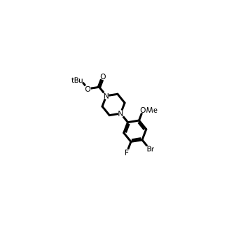 COc1cc(Br)c(F)cc1N1CCN(C(=O)OC(C)(C)C)CC1